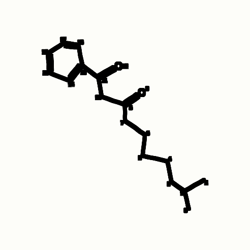 CC(C)CCCCCC(=O)CC(=O)c1ccccc1